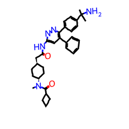 CN(C(=O)C1CCC1)[C@H]1CC[C@H](CC(=O)Nc2cc(-c3ccccc3)c(-c3ccc(C(C)(C)N)cc3)nn2)CC1